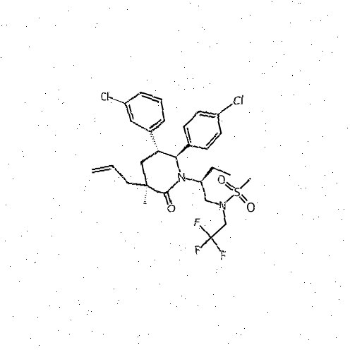 C=CC[C@@]1(C)C[C@H](c2cccc(Cl)c2)[C@@H](c2ccc(Cl)cc2)N([C@@H](CC)CN(CC(F)(F)F)S(C)(=O)=O)C1=O